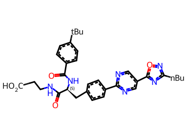 CCCCc1noc(-c2cnc(-c3ccc(C[C@H](NC(=O)c4ccc(C(C)(C)C)cc4)C(=O)NCCC(=O)O)cc3)nc2)n1